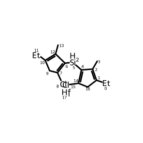 CCC1=C(C)C([SiH2]C2=C(Cl)CC(CC)=C2C)=C(Cl)C1.[Hf]